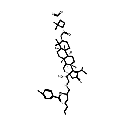 CC(C)C1=C2[C@H]3CC[C@@H]4[C@@]5(C)CC[C@H](OC(=O)[C@H]6C[C@@H](C(=O)O)C6(C)C)C(C)(C)[C@@H]5CC[C@@]4(C)[C@]3(C)CC[C@@]2([C@@H](O)CNCC(CCCCN)NC(=O)c2ccc(Cl)cc2)CC1=O